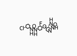 O=C(Nc1cccc(Cl)c1)Nc1ccc(Oc2ccnc3c2CNC(=O)N3)c(F)c1